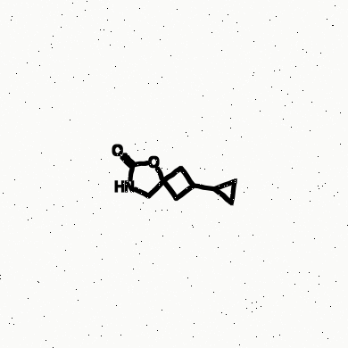 O=C1NCC2(CC(C3CC3)C2)O1